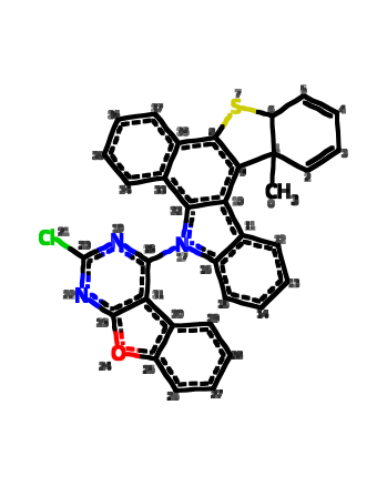 CC12C=CC=CC1Sc1c2c2c3ccccc3n(-c3nc(Cl)nc4oc5ccccc5c34)c2c2ccccc12